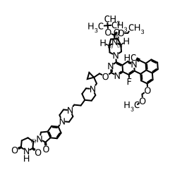 C#Cc1cccc2cc(OCOC)cc(-c3ncc4c(N5C[C@@H]6C[C@H](OCC)[C@H](C5)N6C(=O)OC(C)(C)C)nc(OCC5(CN6CCC(CCN7CCN(c8ccc9c(c8)CN([C@H]8CCC(=O)NC8=O)C9=O)CC7)CC6)CC5)nc4c3F)c12